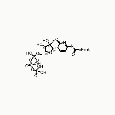 CCCCCC(=O)Nc1ccn([C@@H]2O[C@H](COP(=O)(O)OP(=O)(O)OP(=O)(O)O)[C@@H](O)[C@]2(O)F)c(=O)n1